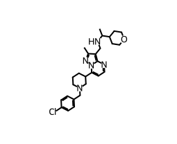 Cc1nn2c(C3CCCN(Cc4ccc(Cl)cc4)C3)ccnc2c1CNC(C)C1CCOCC1